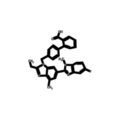 CCc1nc2c(C)cc(-c3nc4cc(F)ccc4n3C)cc2n1Cc1ccc(-c2ccccc2C(=O)O)cc1